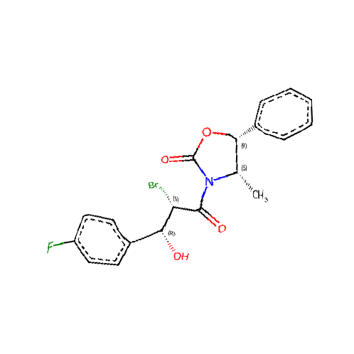 C[C@H]1[C@@H](c2ccccc2)OC(=O)N1C(=O)[C@@H](Br)[C@H](O)c1ccc(F)cc1